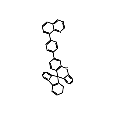 C1=CC2=C(CC1)C1(c3ccccc3Oc3cc(-c4ccc(-c5cccc6cccnc56)cc4)ccc31)c1ccccc12